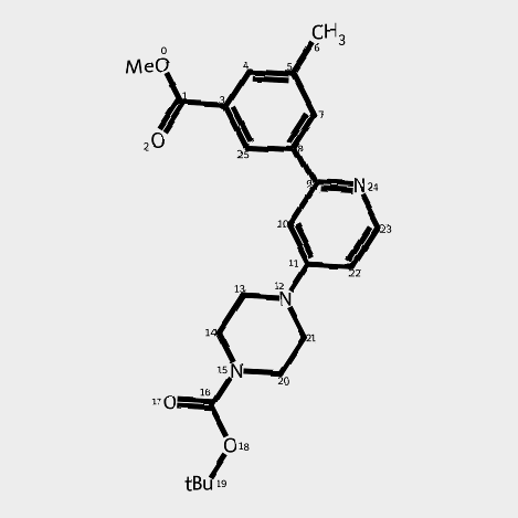 COC(=O)c1cc(C)cc(-c2cc(N3CCN(C(=O)OC(C)(C)C)CC3)ccn2)c1